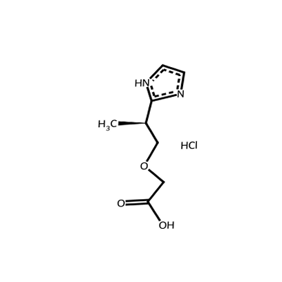 C[C@H](COCC(=O)O)c1ncc[nH]1.Cl